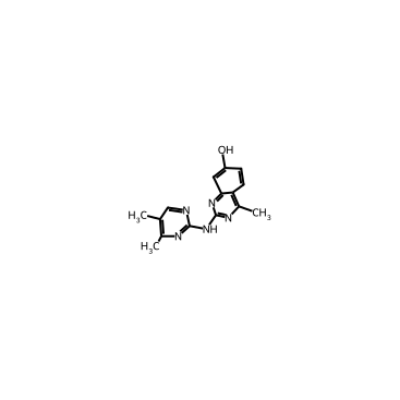 Cc1cnc(Nc2nc(C)c3ccc(O)cc3n2)nc1C